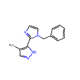 Cc1cn[nH]c1-c1nccn1Cc1ccccc1